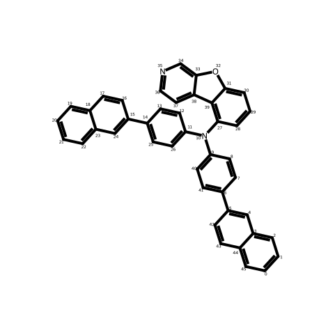 c1ccc2cc(-c3ccc(N(c4ccc(-c5ccc6ccccc6c5)cc4)c4cccc5oc6cnccc6c45)cc3)ccc2c1